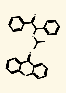 CC(C)OC(C(=O)c1ccccc1)c1ccccc1.O=c1c2ccccc2sc2ccccc12